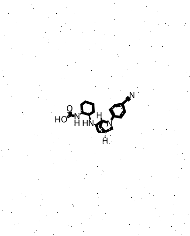 N#Cc1ccc(N2C[C@H]3C[C@H](N[C@@H]4CCCC[C@H]4NC(=O)O)[C@H]2C3)cc1